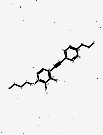 CCCCOc1ccc(C#Cc2ccc(CCC)cc2)c(F)c1F